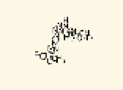 CC(C)(O)Cn1cc(Nc2ncnc(N3CCN(c4ncc(C(C)(O)c5ccc(F)cc5)cn4)CC3)n2)cn1